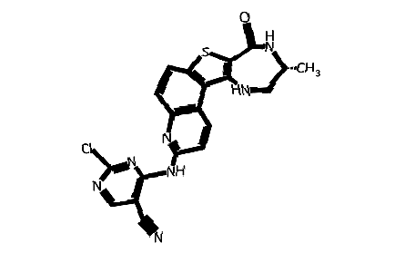 C[C@@H]1CNc2c(sc3ccc4nc(Nc5nc(Cl)ncc5C#N)ccc4c23)C(=O)N1